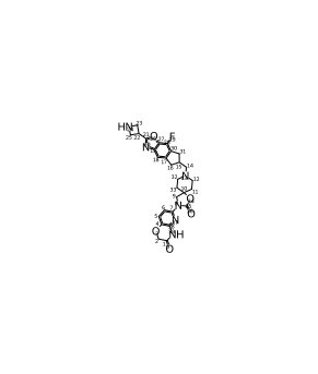 O=C1COc2ccc(N3CC4(CCN(CC5Cc6cc7nc(C8CNC8)oc7c(F)c6C5)CC4)OC3=O)nc2N1